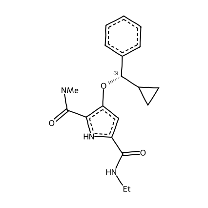 CCNC(=O)c1cc(O[C@H](c2ccccc2)C2CC2)c(C(=O)NC)[nH]1